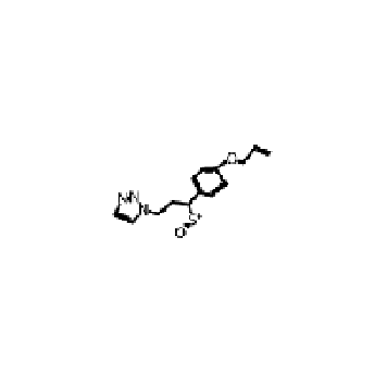 C=CCOc1ccc(C(CCn2ccnn2)[S+]=O)cc1